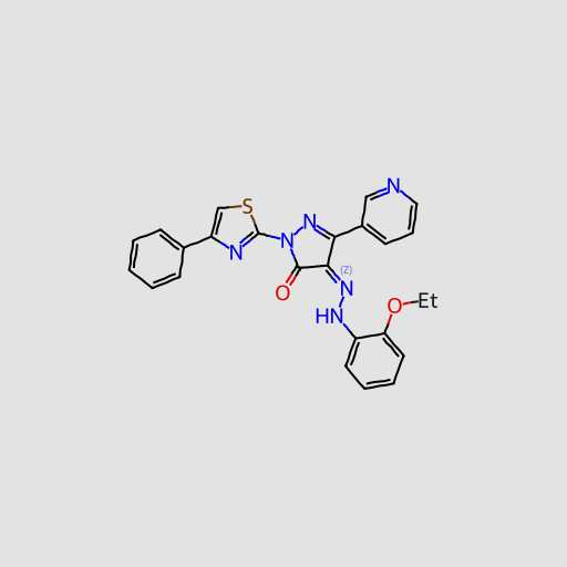 CCOc1ccccc1N/N=C1\C(=O)N(c2nc(-c3ccccc3)cs2)N=C1c1cccnc1